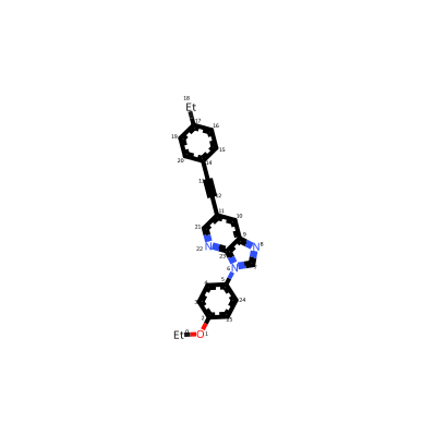 CCOc1ccc(-n2cnc3cc(C#Cc4ccc(CC)cc4)cnc32)cc1